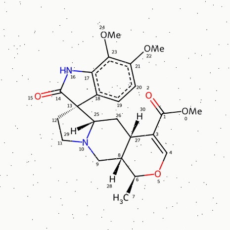 COC(=O)C1=CO[C@@H](C)[C@@H]2CN3CC[C@@]4(C(=O)Nc5c4ccc(OC)c5OC)[C@@H]3C[C@H]12